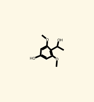 COc1cc(O)cc(OC)c1C(C)O